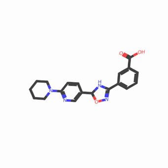 O=C(O)c1cccc(C2=NOC(c3ccc(N4CCCCC4)nc3)N2)c1